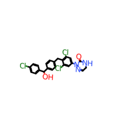 O=C1NCC=NN1c1cc(Cl)c(Cc2ccc(C(O)c3ccc(Cl)cc3)cc2)c(Cl)c1